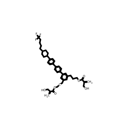 C=C(CO)C(=O)OCCCc1cc(CCCOC(=O)C(=C)CO)cc(-c2ccc(-c3ccc(C4CCC(CCCCC(F)(F)F)CC4)cc3)cc2)c1